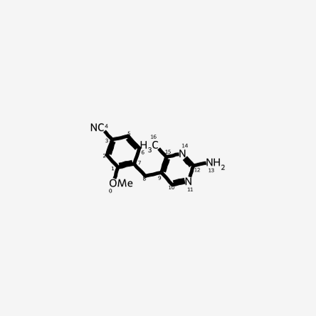 COc1cc(C#N)ccc1Cc1cnc(N)nc1C